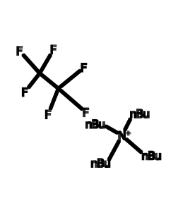 CCCC[N+](CCCC)(CCCC)CCCC.FC(F)(F)C(F)(F)F